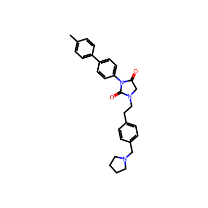 Cc1ccc(-c2ccc(N3C(=O)CN(CCc4ccc(CN5CCCC5)cc4)C3=O)cc2)cc1